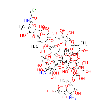 CC1C(O)[C@H](O[C@@H]2OC(CO[C@]3(C(=O)O)C[C@@H](O)[C@@H](N)C([C@H](O)[C@H](O)CO)O3)[C@H](O)C(O)[C@@H]2O)[C@H](CO)O[C@H]1O[C@@H]1C(O)[C@H](O)C(CO)O[C@@H]1OCC1O[C@@H](O[C@@H]2C(CO)O[C@@H](O[C@@H]3C(CO)O[C@@H](NC(=O)CBr)[C@@H](C)C3O)[C@@H](C)C2O)[C@H](O)C(O[C@H]2O[C@H](CO)[C@@H](O)C(O)C2O[C@@H]2OC(CO)[C@@H](O[C@@H]3OC(CO[C@]4(C(=O)O)C[C@@H](O)[C@@H](N)C([C@H](O)[C@H](O)CO)O4)[C@H](O)C(O)[C@@H]3O)C(O)[C@@H]2C)[C@@H]1O